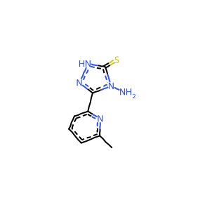 Cc1cccc(-c2n[nH]c(=S)n2N)n1